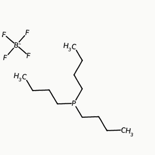 CCCCP(CCCC)CCCC.F[B-](F)(F)F